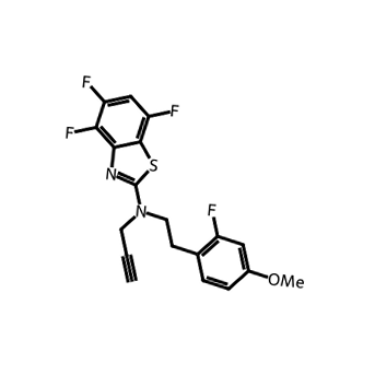 C#CCN(CCc1ccc(OC)cc1F)c1nc2c(F)c(F)cc(F)c2s1